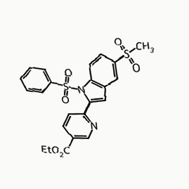 CCOC(=O)c1ccc(-c2cc3cc(S(C)(=O)=O)ccc3n2S(=O)(=O)c2ccccc2)nc1